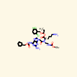 C=CC(OCc1ccccc1Cl)OC(=O)[C@H](CCCCN)N(CCNC(=O)OC(C)(C)C)C(=O)Cn1cnc2c(NC(=O)OCc3ccccc3)nc(N)nc21.Cl